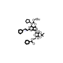 CC(C)(C)OC(=O)N(c1nc(/C=C/c2ccccc2)nc2c1cnn2[C@@H]1O[C@H](COC(=O)c2ccccc2)[C@H]2OC(C)(C)O[C@H]21)C1CCCC1